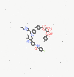 CCCn1cc(CC[N+](C)(CCc2c(C(C)CC)[nH]c3ccc(NC(=O)c4ccc(F)cc4)cc23)c2ccccc2)cn1.Cc1ccc(C(=O)OC(C(=O)O)C(OC(=O)c2ccc(C)cc2)C(=O)O)cc1